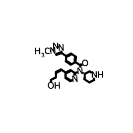 Cn1cc(-c2ccc(C(=O)N(c3cc(/C=C\CCO)ccn3)[C@@H]3CCCNC3)cc2)nn1